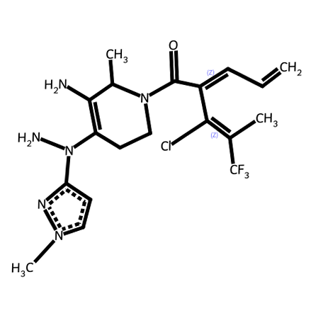 C=C/C=C(C(=O)N1CCC(N(N)c2ccn(C)n2)=C(N)C1C)\C(Cl)=C(/C)C(F)(F)F